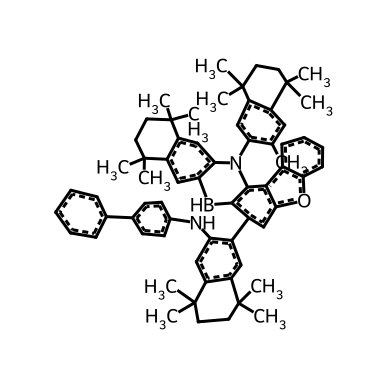 Cc1cc2c(cc1N1c3cc4c(cc3Bc3c(-c5cc6c(cc5Nc5ccc(-c7ccccc7)cc5)C(C)(C)CCC6(C)C)cc5oc6ccccc6c5c31)C(C)(C)CCC4(C)C)C(C)(C)CCC2(C)C